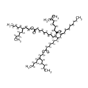 CCCCCCCCCCC(CCCCCCC(=O)OCCC(CCCCC)CCCCC)N(CCCCCCCCC(=O)OCCC(CCCCC)CCCCC)C(=O)CCCCN(C)C